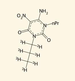 [2H]C([2H])([2H])C([2H])([2H])C([2H])([2H])n1c(=O)c([N+](=O)[O-])c(N)n(CCC)c1=O